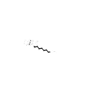 CC(=O)O.CC(=O)O.CC(=O)O.CCCCCCCCCCCCCCCCCC(=O)O